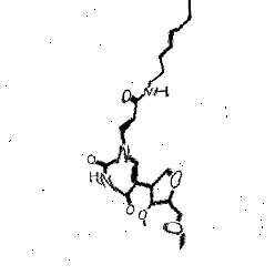 CCCCCCCNC(=O)/C=C/n1cc(C2COC(COC)C2OC)c(=O)[nH]c1=O